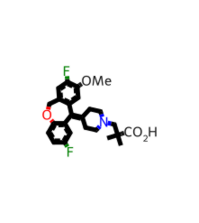 COc1cc2c(cc1F)COc1ccc(F)cc1C2=C1CCN(CC(C)(C)C(=O)O)CC1